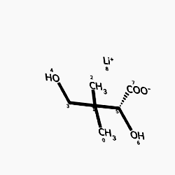 CC(C)(CO)[C@@H](O)C(=O)[O-].[Li+]